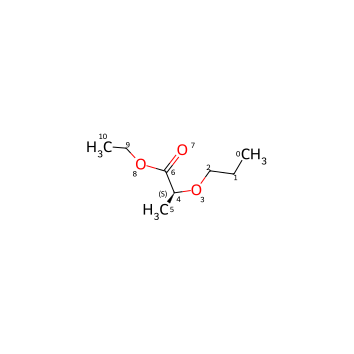 CCCO[C@@H](C)C(=O)OCC